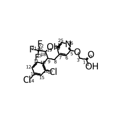 O=C(O)COc1cc(CC(c2ccc(Cl)cc2Cl)C(O)C(F)(F)F)ccn1